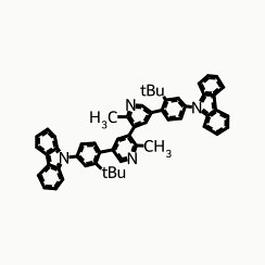 Cc1ncc(-c2ccc(-n3c4ccccc4c4ccccc43)cc2C(C)(C)C)cc1-c1cc(-c2ccc(-n3c4ccccc4c4ccccc43)cc2C(C)(C)C)cnc1C